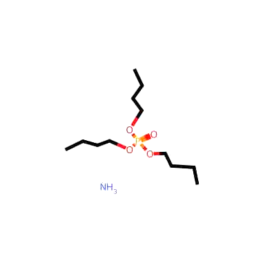 CCCCOP(=O)(OCCCC)OCCCC.N